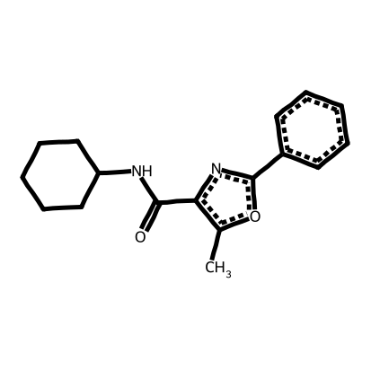 Cc1oc(-c2ccccc2)nc1C(=O)NC1CCCCC1